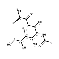 CC(=O)N[C@@H](C(O)CC(=O)C(=O)O)[C@H](O)[C@@H](O)[C@@H](O)CO